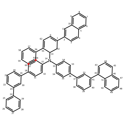 C1=C(c2ccc3ccccc3c2)CC(N(c2ccc(-c3cccc(-c4ccccc4)c3)cc2)c2ccc(-c3cccc(-c4cccc5ccccc45)c3)cc2)C(c2ccccc2)=C1